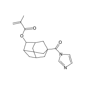 C=C(C)C(=O)OC1C2CC3CC1CC(C(=O)n1ccnc1)(C3)C2